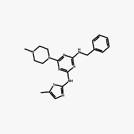 Cc1cnc(Nc2nc(NCc3ccccc3)nc(N3CCN(C)CC3)n2)s1